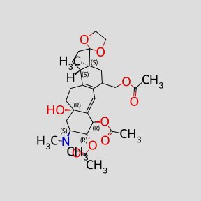 CC(=O)OCC1C[C@@]2(C)[C@@H](CCC23OCCO3)C2=C1C=C1[C@@H](OC(C)=O)[C@H](OC(C)=O)[C@@H](N(C)C)C[C@]1(O)CC2